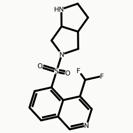 O=S(=O)(c1cccc2cncc(C(F)F)c12)N1CC2CCNC2C1